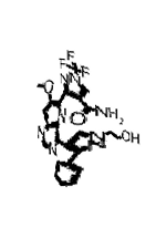 COc1cc2ncnc(-c3cn(CCO)nc3-c3ccccc3)c2nc1-c1nn(C(F)(F)F)cc1C(N)=O